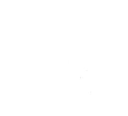 CCCCCCOc1c(OC)c(OC)cc(C)c1C(=O)c1c(Cl)cccc1Cl